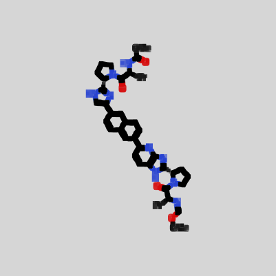 COO/C=N\[C@H](C(=O)N1CCC[C@H]1c1nc2nc(-c3ccc4cc(-c5c[nH]c([C@@H]6CCCN6C(=O)[C@@H](NC(=O)OC)C(C)C)n5)ccc4c3)ccc2[nH]1)C(C)C